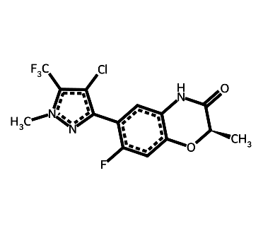 C[C@H]1Oc2cc(F)c(-c3nn(C)c(C(F)(F)F)c3Cl)cc2NC1=O